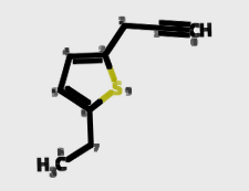 C#CCc1ccc(CC)s1